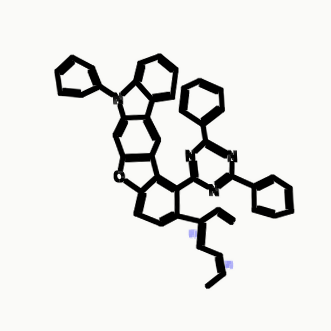 C=C/C(=C\C=C/C)c1ccc2oc3cc4c(cc3c2c1-c1nc(-c2ccccc2)nc(-c2ccccc2)n1)c1ccccc1n4-c1ccccc1